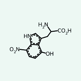 NC(Cc1c[nH]c2c([N+](=O)[O-])ccc(O)c12)C(=O)O